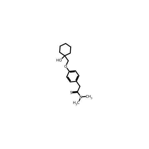 CN(C)C(=S)Cc1ccc(OCC2(O)CCCCC2)cc1